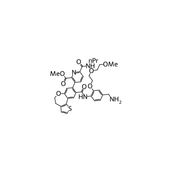 CCCNC(=O)c1ccc(-c2cc3c(cc2C(=O)Nc2ccc(CN)cc2OCCOCCOC)-c2sccc2CCO3)c(C(=O)OC)n1